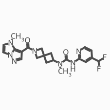 CN(C(=O)Nc1cc(C(F)F)ccn1)C1CC2(C1)CN(C(=O)c1cnn3ccn(C)c13)C2